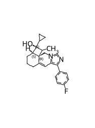 CC1[C@@](O)(C2CC2)[C@H]2CCCC3=Cc4c(-c5ccc(F)cc5)ncn4C[C@]312